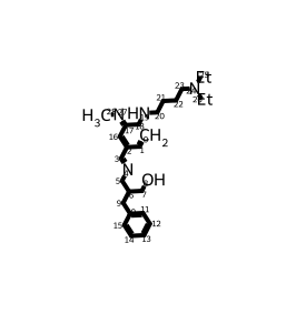 C=CC(/C=N/CC(CO)Cc1ccccc1)=C\C(CNCCCCN(CC)CC)=N/C